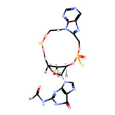 CC(C)C(=O)Nc1nc2c(ncn2[C@@H]2O[C@@H]3COPOCCn4c(nc5cncnc54)COP(=O)(S)O[C@@H]2[C@H]3F)c(=O)[nH]1